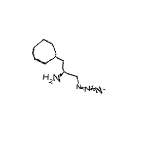 [N-]=[N+]=NC[C@@H](N)CC1CCCCC1